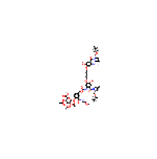 C=C1C[C@@H](CO[Si](C)(C)C(C)(C)C)N(C(=O)c2cc(OC)c(OCCCCCOc3cc(NC(=O)OCc4ccc(O[C@@H]5O[C@H](C(=O)OC)[C@@H](OC(C)=O)[C@H](OC(C)=O)[C@H]5OC(C)=O)c(C(=O)NCCOC)c4)c(C(=O)N4CC(=C)C[C@H]4CO[Si](C)(C)C(C)(C)C)cc3OC)cc2N)C1